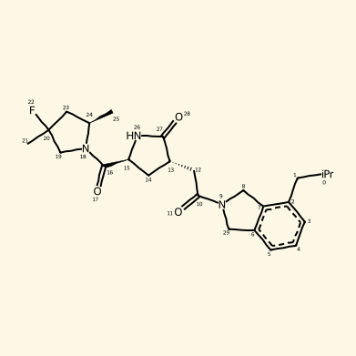 CC(C)Cc1cccc2c1CN(C(=O)C[C@@H]1C[C@@H](C(=O)N3CC(C)(F)C[C@H]3C)NC1=O)C2